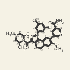 COc1cc2c(cc1-c1cncc(C(N)=O)c1)-c1c(c(C(=O)N3[C@H](C)CN(C)C[C@@H]3C)nn1-c1cc(Cl)cc(Cl)c1)CC2